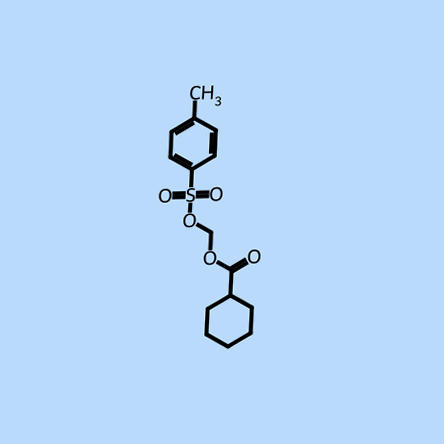 Cc1ccc(S(=O)(=O)OCOC(=O)C2CCCCC2)cc1